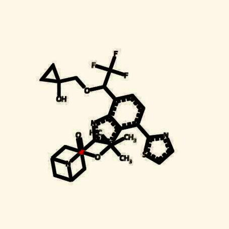 CC(C)(C)OC(=O)N1C2CC1CN(c1nc3c(C(OCC4(O)CC4)C(F)(F)F)ccc(-c4nccs4)c3o1)C2